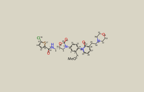 COCc1cc(N2C[C@H](CNC(=O)c3ccc(Cl)s3)OC2=O)ccc1-n1cccc(CCN2CCOCC2)c1=O